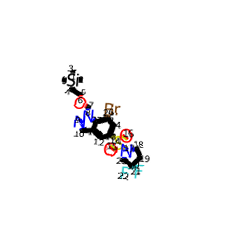 C[Si](C)(C)CCOCn1ncc2cc(S(=O)(=O)N3CCC(F)(F)C3)cc(Br)c21